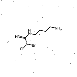 N=C(NCCCCN)N(Cl)Br